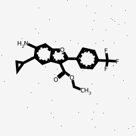 CCOC(=O)c1c(-c2ccc(C(F)(F)F)cc2)oc2cc(N)c(C3CC3)cc12